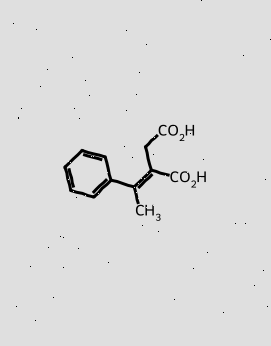 CC(=C(CC(=O)O)C(=O)O)c1ccccc1